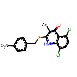 CC(=O)c1c(SCc2ccc([N+](=O)[O-])cc2)[nH]c2c(Cl)ccc(Cl)c2c1=O